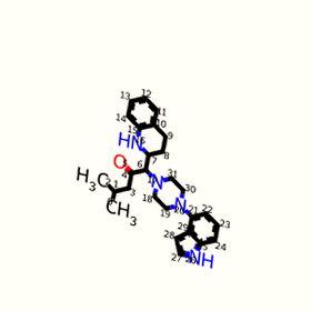 CC(C)CC(=O)C(C1CCc2ccccc2N1)N1CCN(c2cccc3[nH]ccc23)CC1